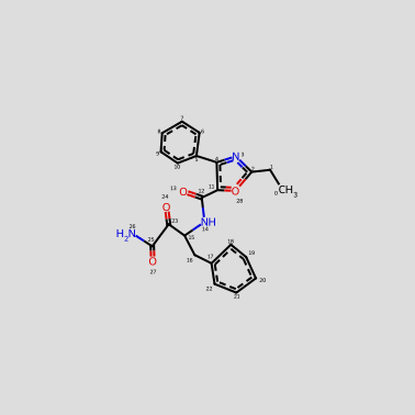 CCc1nc(-c2ccccc2)c(C(=O)NC(Cc2ccccc2)C(=O)C(N)=O)o1